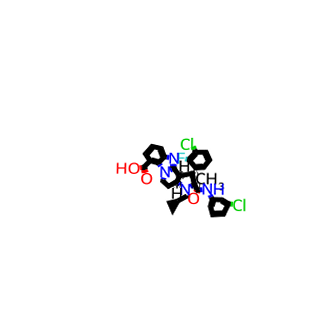 C[C@]1(C(=O)Nc2cccc(Cl)c2)[C@@H](c2cccc(Cl)c2F)[C@@H]2c3nc4cccc(C(=O)O)c4n3CC[C@@H]2N1CC1CC1